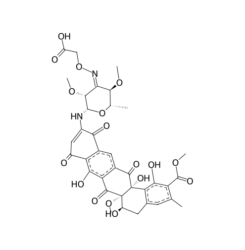 COC(=O)c1c(C)cc2c(c1O)[C@]1(O)C(=O)c3cc4c(c(O)c3C(=O)[C@]1(OC)[C@H](O)C2)C(=O)C=C(N[C@H]1O[C@@H](C)[C@H](OC)C(=NOCC(=O)O)[C@H]1OC)C4=O